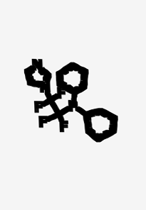 FC(F)(n1ccnc1)C(F)(F)P(c1ccccc1)c1ccccc1